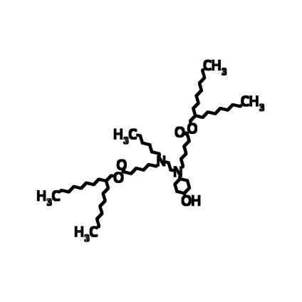 CCCCCCCCC(CCCCCCCC)COC(=O)CCCCCN(CCCCCC)CCN(CCCCCC(=O)OCC(CCCCCCCC)CCCCCCCC)C1CCC(O)CC1